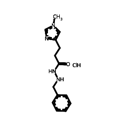 Cl.Cn1cnc(CCC(=O)NNCc2ccccc2)c1